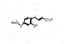 COOc1ccc(C/C=C/C(=O)O)c(O)c1